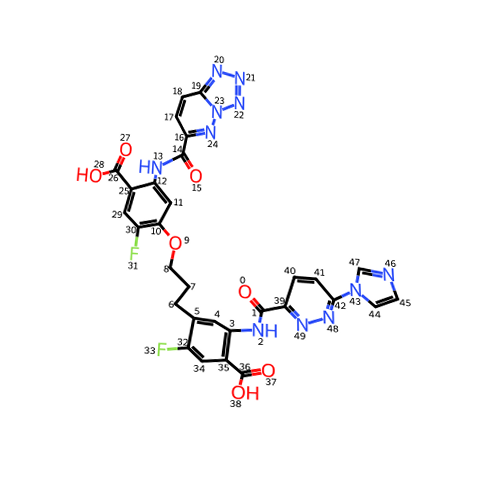 O=C(Nc1cc(CCCOc2cc(NC(=O)c3ccc4nnnn4n3)c(C(=O)O)cc2F)c(F)cc1C(=O)O)c1ccc(-n2ccnc2)nn1